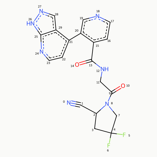 N#CC1CC(F)(F)CN1C(=O)CNC(=O)c1ccncc1-c1ccnc2[nH]ncc12